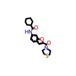 O=C(Nc1ccc2cc(C(=O)N3CCSCC3)oc2c1)C1CCCCC1